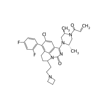 C=CC(=O)N1C[C@H](C)N(c2nc(=O)n3c4c(c(-c5ccc(F)cc5F)c(Cl)cc24)CCC3CCN2CCC2)C[C@H]1C